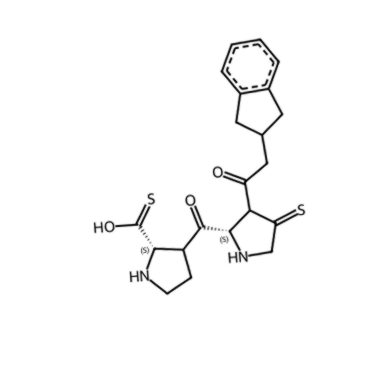 O=C(CC1Cc2ccccc2C1)C1C(=S)CN[C@@H]1C(=O)C1CCN[C@@H]1C(O)=S